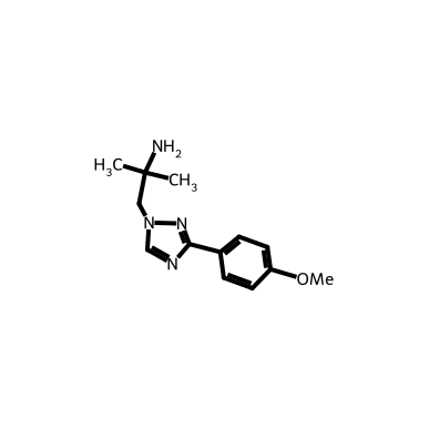 COc1ccc(-c2ncn(CC(C)(C)N)n2)cc1